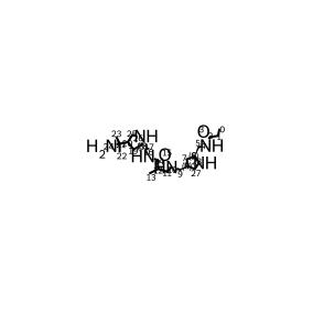 CCC(=O)NC[C@@H]1C[C@H](CNCC(C)C(=O)NC[C@@H]2CC(C(C)(C)N)CN2)CN1